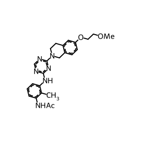 COCCOc1ccc2c(c1)CCN(c1ncnc(Nc3cccc(NC(C)=O)c3C)n1)C2